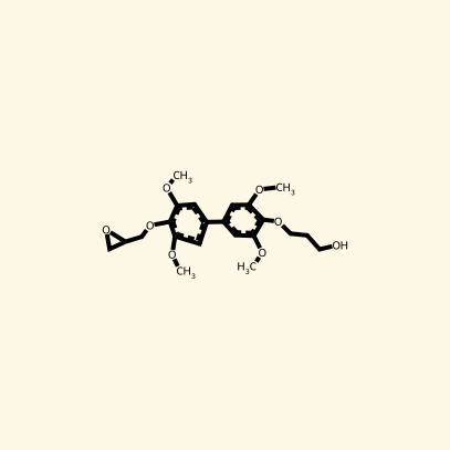 COc1cc(-c2cc(OC)c(OCC3CO3)c(OC)c2)cc(OC)c1OCCCO